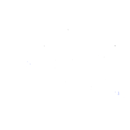 NCCCCCCN.O=S(=O)(O)Cc1ccccc1